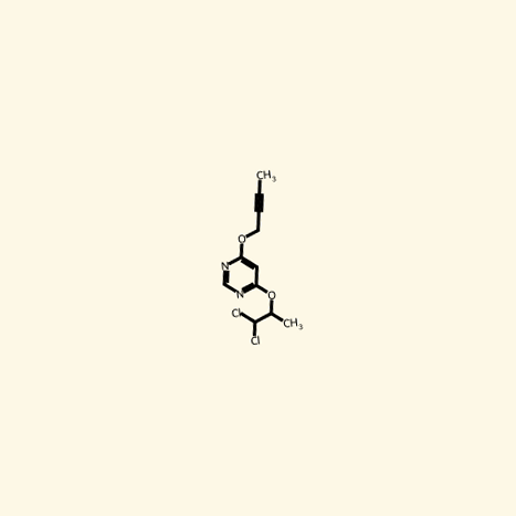 CC#CCOc1cc(OC(C)C(Cl)Cl)ncn1